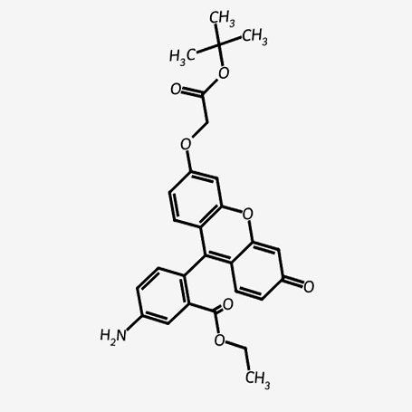 CCOC(=O)c1cc(N)ccc1-c1c2ccc(=O)cc-2oc2cc(OCC(=O)OC(C)(C)C)ccc12